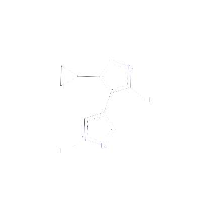 Cc1noc(C2CC2)c1-c1cnn(C)c1